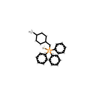 CC1CCC(CP(Br)(c2ccccc2)(c2ccccc2)c2ccccc2)CC1